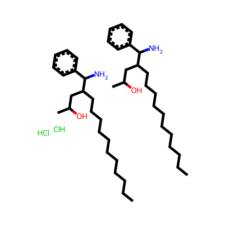 CCCCCCCCCCCC(CC(C)O)C(N)c1ccccc1.CCCCCCCCCCCC(CC(C)O)C(N)c1ccccc1.Cl.Cl